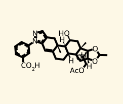 CC(=O)OCC(=O)[C@@]12OC(C)O[C@@H]1C[C@H]1[C@@H]3CCC4=Cc5c(cnn5-c5cccc(C(=O)O)c5)C[C@]4(C)[C@H]3[C@@H](O)C[C@@]12C